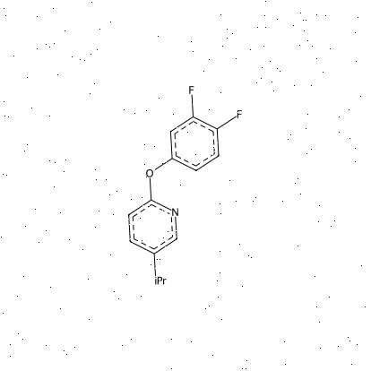 CC(C)c1ccc(Oc2ccc(F)c(F)c2)nc1